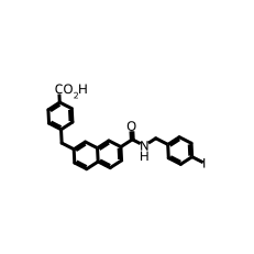 O=C(O)c1ccc(Cc2ccc3ccc(C(=O)NCc4ccc(I)cc4)cc3c2)cc1